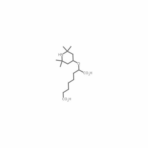 CC1(C)CC(OC(CCCCCC(=O)O)C(=O)O)CC(C)(C)N1